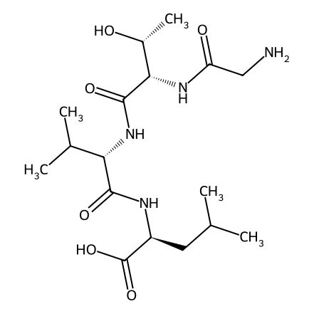 CC(C)C[C@H](NC(=O)[C@@H](NC(=O)[C@@H](NC(=O)CN)[C@@H](C)O)C(C)C)C(=O)O